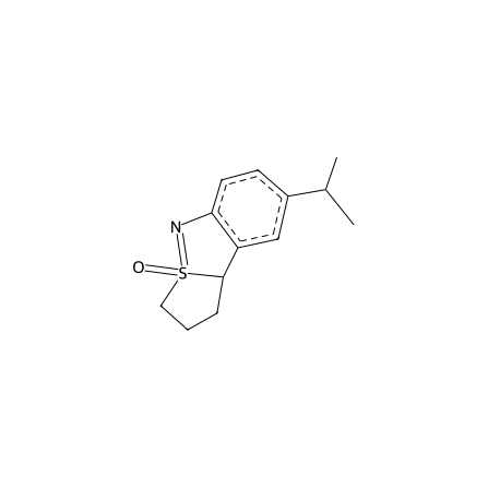 CC(C)c1ccc2c(c1)C1CCCS1(=O)=N2